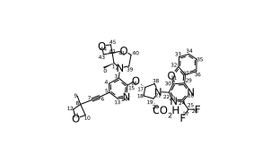 C[C@@H]1N(c2cc(C#CC3(C)COC3)cnc2O[C@H]2C[C@@H](C(=O)O)N(c3nc(C(F)F)nc4c3oc3ccccc34)C2)CCOC12COC2